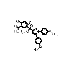 COc1ccc(-c2cc(C(OC)(OC)c3ccc(Cl)c(C(=O)O)c3)nn2-c2ccc(OC)cc2)cc1